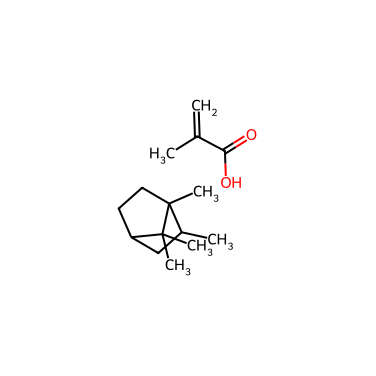 C=C(C)C(=O)O.CC1CC2CCC1(C)C2(C)C